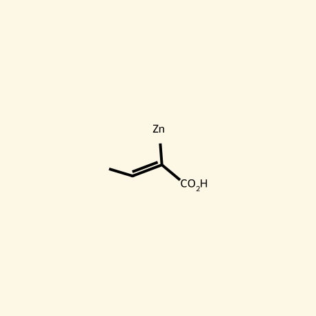 CC=C(C)C(=O)O.[Zn]